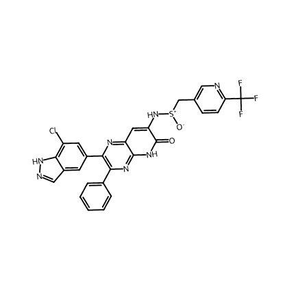 O=c1[nH]c2nc(-c3ccccc3)c(-c3cc(Cl)c4[nH]ncc4c3)nc2cc1N[S+]([O-])Cc1ccc(C(F)(F)F)nc1